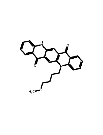 CSCCCCn1c2ccccc2c(=O)c2cc3[nH]c4ccccc4c(=O)c3cc21